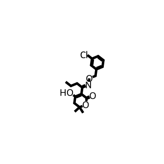 CCC/C(=N\OCc1cccc(Cl)c1)C1=C(O)CC(C)(C)OC1=O